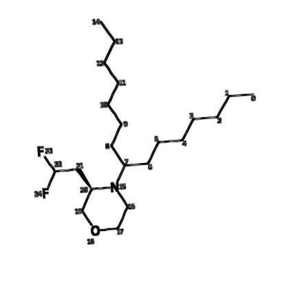 CCCCCCCC(CCCCCCC)N1CCOC[C@H]1CC(F)F